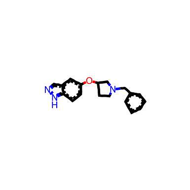 c1ccc(CN2CCC(Oc3ccc4[nH]ncc4c3)C2)cc1